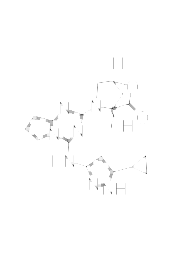 C[C@]12C[C@@H](CN1c1nc(Nc3cc(C4CC4)[nH]n3)n3cccc3n1)OC2=O